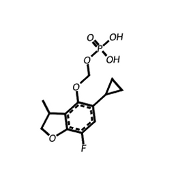 CC1COc2c(F)cc(C3CC3)c(OCOP(=O)(O)O)c21